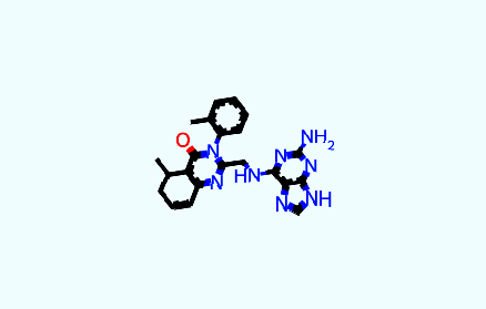 Cc1ccccc1-n1c(CNc2nc(N)nc3[nH]cnc23)nc2c(c1=O)C(C)CC=C2